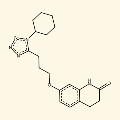 O=C1CCc2ccc(OCCCc3nnnn3C3CCCCC3)cc2N1